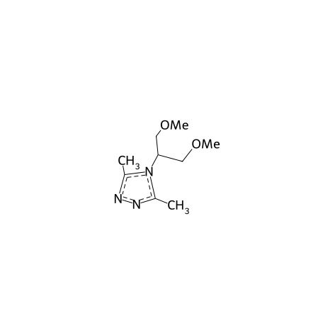 COCC(COC)n1c(C)nnc1C